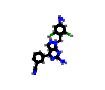 N#Cc1cccc(-c2nc(N)nc3c2cnn3Cc2c(F)cc(N)cc2F)c1